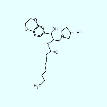 CCCCCCCC(=O)N[C@H](CN1CC[C@H](O)C1)C(O)c1ccc2c(c1)OCCO2